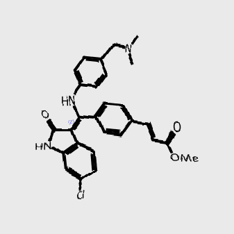 COC(=O)C=Cc1ccc(/C(Nc2ccc(CN(C)C)cc2)=C2/C(=O)Nc3cc(Cl)ccc32)cc1